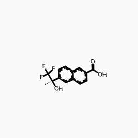 C[C@@](O)(c1ccc2cc(C(=O)O)ccc2c1)C(F)(F)F